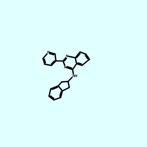 c1cncc(-c2nc(NC3Cc4ccccc4C3)c3ccccc3n2)c1